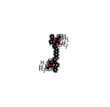 CC(C)(C)c1cc(-n2c3ccccc3c3cccc(N(c4ccccc4)c4ccc5c(c4)sc4cc6cc7sc8cc(N(c9ccccc9)c9cccc%10c%11ccccc%11n(-c%11cc(C(C)(C)C)cc(C(C)(C)C)c%11)c9%10)ccc8c7cc6cc45)c32)cc(C(C)(C)C)c1